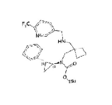 CC(C)(C)OC(=O)N(CC1(CNCc2ccc(C(F)(F)F)nc2)CCC1)[C@H]1C[C@@H]1c1ccccc1